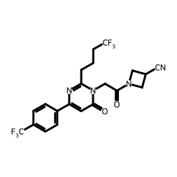 N#CC1CN(C(=O)Cn2c(CCCC(F)(F)F)nc(-c3ccc(C(F)(F)F)cc3)cc2=O)C1